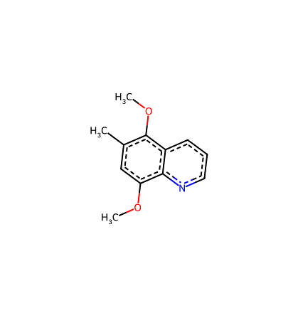 COc1c(C)cc(OC)c2ncccc12